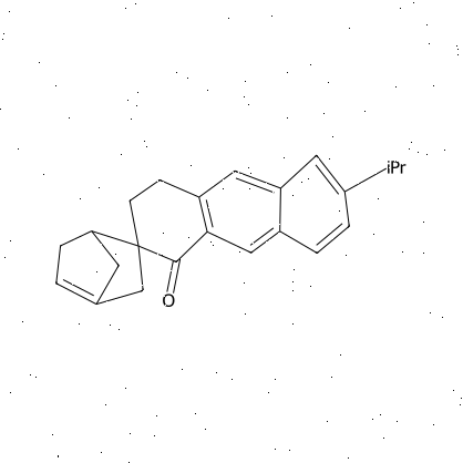 CC(C)c1ccc2cc3c(cc2c1)CCC1(CC2=CCC1C2)C3=O